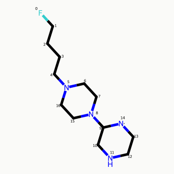 FCCCCN1CCN(C2CNCC[N]2)CC1